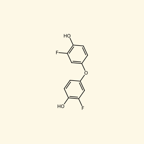 Oc1ccc(Oc2ccc(O)c(F)c2)cc1F